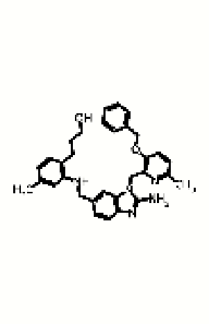 Cc1ccc(CCCO)c(NCc2ccc3nc(N)n(Cc4nc(C)ccc4OCc4ccccc4)c3c2)c1